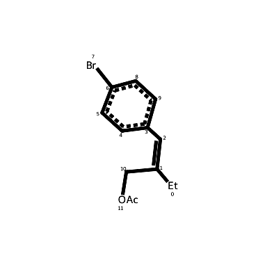 CCC(=Cc1ccc(Br)cc1)COC(C)=O